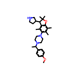 COc1ccc(C(C)N2CCN(c3c(C)c(C)c4c(c3C)C(C3CCNC3)C(C)(C)O4)CC2)cc1